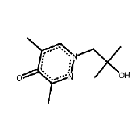 Cc1cn(CC(C)(C)O)nc(C)c1=O